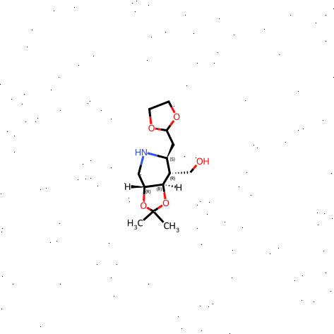 CC1(C)O[C@@H]2[C@@H](CO)[C@H](CC3OCCO3)NC[C@H]2O1